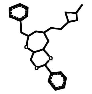 CC1CC(CCC2CC(Cc3ccccc3)OC3COC(c4ccccc4)OC3C2)C1